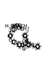 CC1c2nc(N3CCC(O[C@H]4CC[C@H](CN5CCN(C(=O)OC(C)(C)C)C(C)(C)C5)CC4)CC3)ccc2C(=O)N1c1ccc(OCc2ccccc2)nc1OCc1ccccc1